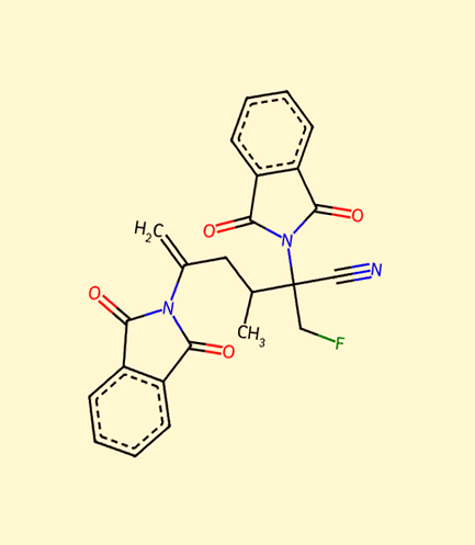 C=C(CC(C)C(C#N)(CF)N1C(=O)c2ccccc2C1=O)N1C(=O)c2ccccc2C1=O